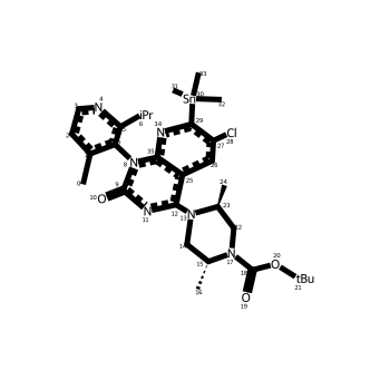 Cc1ccnc(C(C)C)c1-n1c(=O)nc(N2C[C@@H](C)N(C(=O)OC(C)(C)C)C[C@@H]2C)c2cc(Cl)[c]([Sn]([CH3])([CH3])[CH3])nc21